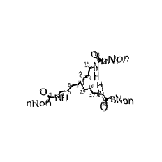 CCCCCCCCCC(=O)NCCCN(CCCNC(=O)CCCCCCCCC)CCCNC(=O)CCCCCCCCC